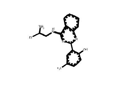 CCC(N)CNc1nc(-c2cc(C(F)(F)F)ccc2O)nc2ccccc12